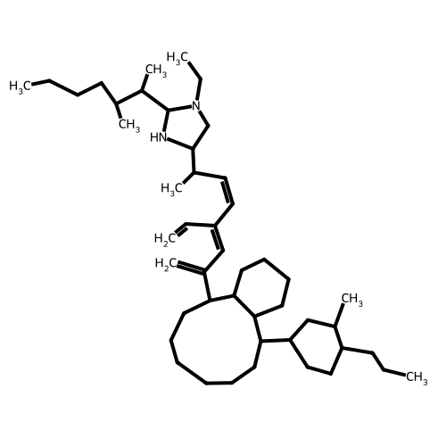 C=CC(/C=C\C(C)C1CN(CC)C(C(C)C(C)CCCC)N1)=C\C(=C)C1CCCCCCC(C2CCC(CCC)C(C)C2)C2CCCCC12